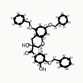 CC(=O)[C@]1(O)Cc2c(OCc3ccccc3)cc(OCc3ccccc3)cc2O[C@@H]1c1ccc(O)c(OCc2ccccc2)c1